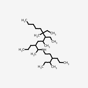 CCCCCC(C)(CC)C(CC)C(C)CC(CCC)C(C)NCCC(CCC)C(C)CC